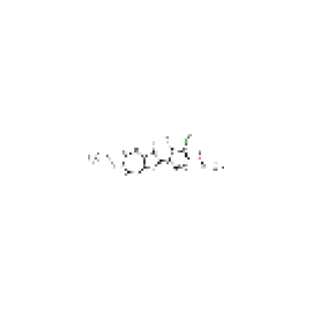 CCCC1CCC2CC(c3ccc(OCC)c(F)c3F)C(F)C2CC1